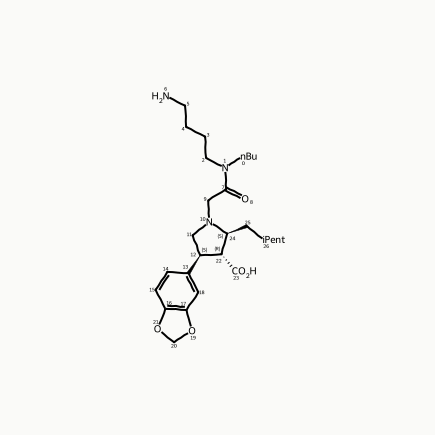 CCCCN(CCCCN)C(=O)CN1C[C@H](c2ccc3c(c2)OCO3)[C@@H](C(=O)O)[C@@H]1CC(C)CCC